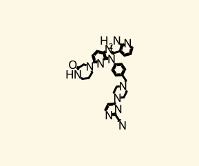 N#Cc1nccc(N2CCN(Cc3ccc(-n4c(-c5cccnc5N)nc5ccc(N6CCCNC(=O)C6)nc54)cc3)CC2)n1